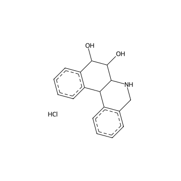 Cl.OC1c2ccccc2C2c3ccccc3CNC2C1O